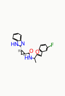 CC(NC(=O)[C@H]1C[C@@H]1c1nc2ccccc2[nH]1)c1cc2cc(F)ccc2o1